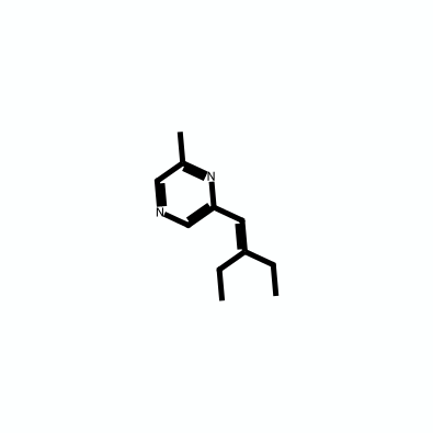 CCC(=Cc1cncc(C)n1)CC